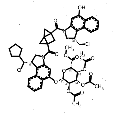 COC(=O)[C@H]1O[C@@H](Oc2cc3c(c4ccccc24)[C@H](C(Cl)C2CCCC2)CN3C(=O)C23CC4(C(=O)N5C[C@@H](CCl)c6c5cc(O)c5ccccc65)CC42C3)[C@H](OC(C)=O)[C@@H](OC(C)=O)[C@@H]1OC(C)=O